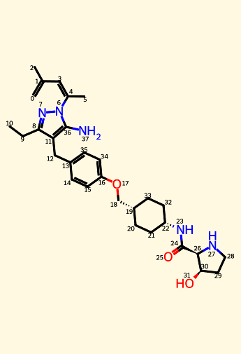 C=C(C)/C=C(/C)n1nc(CC)c(Cc2ccc(OC[C@H]3CC[C@@H](NC(=O)[C@H]4NCC[C@H]4O)CC3)cc2)c1N